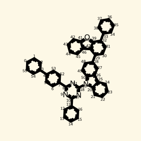 c1ccc(-c2ccc(-c3nc(-c4ccccc4)nc(-n4c5ccccc5c5cc(-c6ccc(-c7ccccc7)c7oc8ccccc8c67)ccc54)n3)cc2)cc1